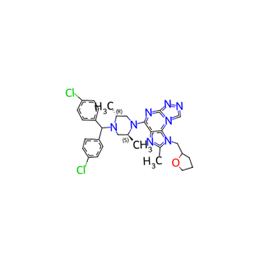 Cc1nc2c(N3C[C@@H](C)N(C(c4ccc(Cl)cc4)c4ccc(Cl)cc4)C[C@@H]3C)nc3nncn3c2n1CC1CCCO1